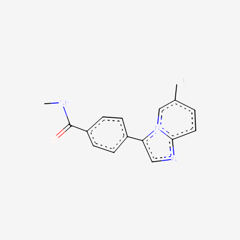 Bc1ccc2ncc(-c3ccc(C(=O)NC)cc3)n2c1